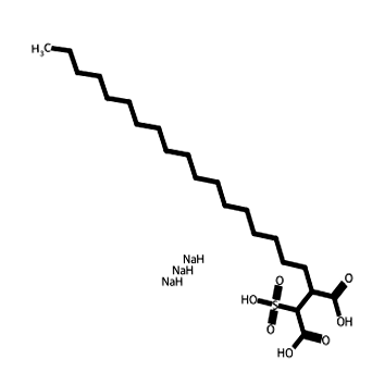 CCCCCCCCCCCCCCCCCCC(C(=O)O)C(C(=O)O)S(=O)(=O)O.[NaH].[NaH].[NaH]